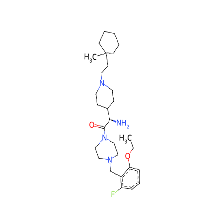 CCOc1cccc(F)c1CN1CCN(C(=O)[C@H](N)C2CCN(CCC3(C)CCCCC3)CC2)CC1